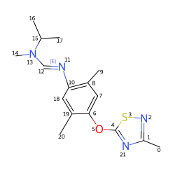 Cc1nsc(Oc2cc(C)c(/N=C/N(C)C(C)C)cc2C)n1